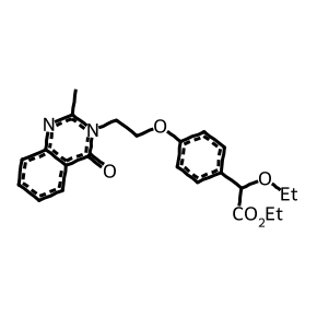 CCOC(=O)C(OCC)c1ccc(OCCn2c(C)nc3ccccc3c2=O)cc1